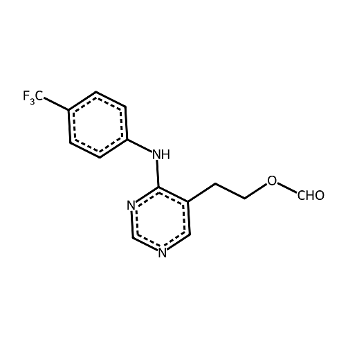 O=COCCc1cncnc1Nc1ccc(C(F)(F)F)cc1